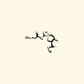 CCCCCCCCCCCC(=O)OC(C)N1C=CC(Cl)=C(C(=O)NCC)C1